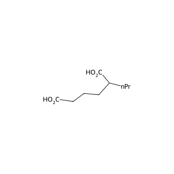 [CH2]CCC(CCCC(=O)O)C(=O)O